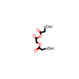 CCCCCCCCCCCC(=O)OCC(=O)OC(=O)CCCCCCCCCCC